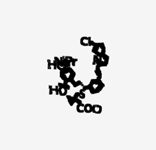 CC(C)(O)c1ccccc1CC[C@@H](SCC1(CC(=O)[O-])CC1)c1cccc(/C=C/c2ccc3ccc(Cl)cc3n2)c1.CC(C)O.[Na+]